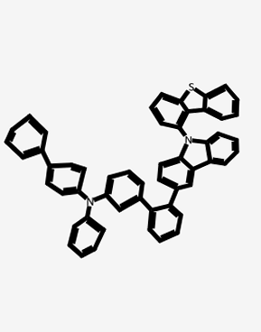 c1ccc(-c2ccc(N(c3ccccc3)c3cccc(-c4ccccc4-c4ccc5c(c4)c4ccccc4n5-c4cccc5sc6ccccc6c45)c3)cc2)cc1